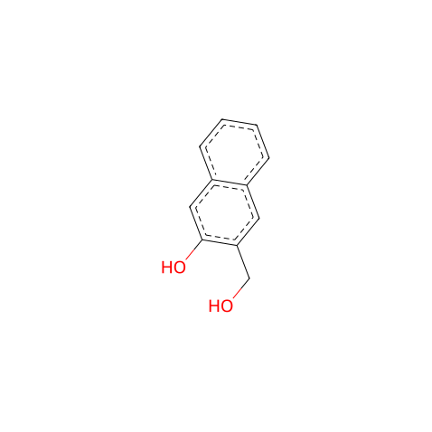 OCc1cc2ccccc2cc1O